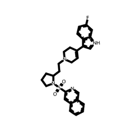 O=S(=O)(c1cc2ccccc2cn1)N1CCCC1CCN1CC=C(c2c[nH]c3cc(F)ccc23)CC1